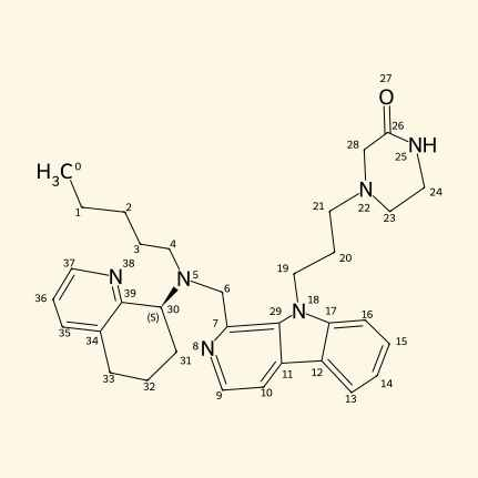 CCCCCN(Cc1nccc2c3ccccc3n(CCCN3CCNC(=O)C3)c12)[C@H]1CCCc2cccnc21